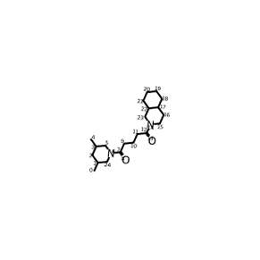 CC1CC(C)CN(C(=O)CCCC(=O)N2CCC3CCCCC3C2)C1